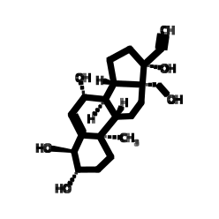 C#C[C@]1(O)CC[C@H]2[C@@H]3[C@@H](O)C=C4[C@H](O)[C@@H](O)CC[C@]4(C)[C@H]3CC[C@@]21CO